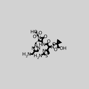 NCc1cnn(C[C@H]2C(NC(=O)/C(=N\OC3(C(=O)O)CC3)c3csc(N)n3)C(=O)N2S(=O)(=O)O)n1